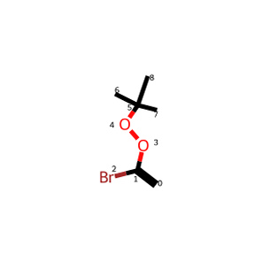 C=C(Br)OOC(C)(C)C